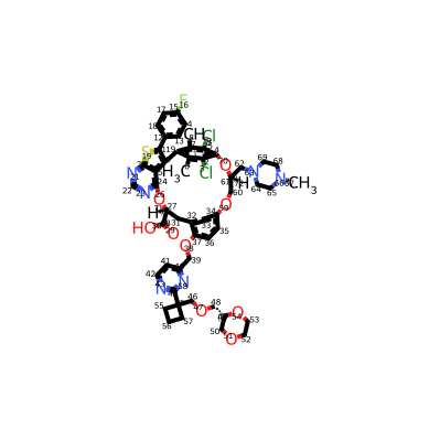 Cc1c(Cl)c2c(Cl)c(C)c1-c1c(-c3ccc(F)cc3)sc3ncnc(c13)O[C@@H](C(=O)O)Cc1cc(ccc1OCc1ccnc(C3(COC[C@H]4COCCO4)CCC3)n1)OC[C@@H](CN1CCN(C)CC1)O2